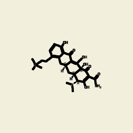 CN(C)[C@H]1C(O)=C(C(N)=O)C(=O)[C@]2(O)C(O)=C3C(=O)c4c(O)ccc(CC[Si](C)(C)C)c4C[C@@H]3C[C@H]12